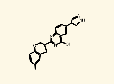 Cc1ccc2c(c1)CC(c1nc(O)c3cc(C4C=NNC4)ccc3n1)CO2